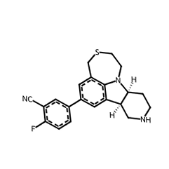 N#Cc1cc(-c2cc3c4c(c2)[C@@H]2CNCC[C@@H]2N4CCSC3)ccc1F